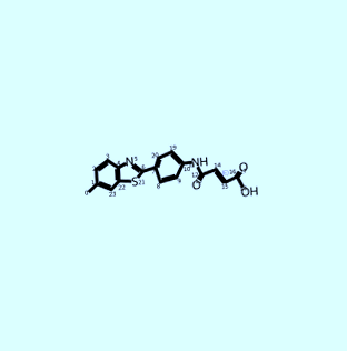 Cc1ccc2nc(-c3ccc(NC(=O)/C=C/C(=O)O)cc3)sc2c1